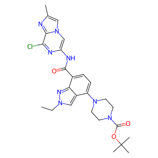 CCn1cc2c(N3CCN(C(=O)OC(C)(C)C)CC3)ccc(C(=O)Nc3cn4cc(C)nc4c(Cl)n3)c2n1